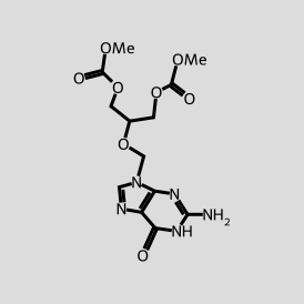 COC(=O)OCC(COC(=O)OC)OCn1cnc2c(=O)[nH]c(N)nc21